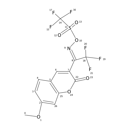 COc1ccc2cc(C(=NOS(=O)(=O)C(F)(F)F)C(F)(F)F)c(=O)oc2c1